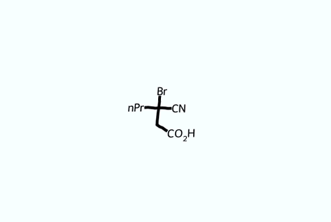 CCCC(Br)(C#N)CC(=O)O